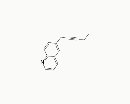 CCC#CCc1ccc2ncccc2c1